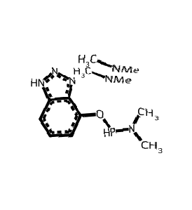 CN(C)POc1cccc2[nH]nnc12.CNC.CNC